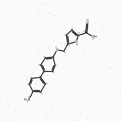 Bc1ccc(-c2ccc(OCc3ccc(C(=O)O)o3)cc2)cc1